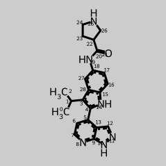 CC(C)c1c(-c2ccnc3[nH]ncc23)[nH]c2ccc(NC(=O)C3CCNC3)cc12